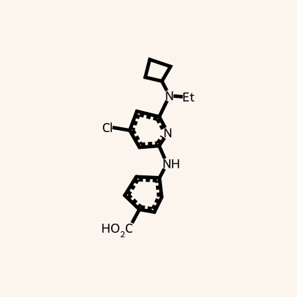 CCN(c1cc(Cl)cc(Nc2ccc(C(=O)O)cc2)n1)C1CCC1